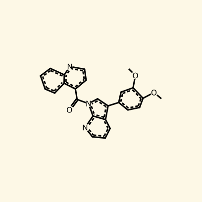 COc1ccc(-c2cn(C(=O)c3ccnc4ccccc34)c3ncccc23)cc1OC